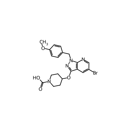 COc1ccc(Cn2nc(OC3CCN(C(=O)O)CC3)c3cc(Br)cnc32)cc1